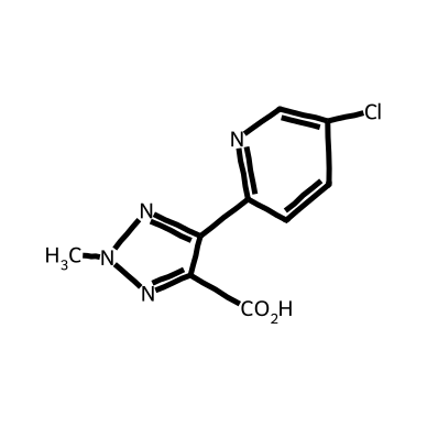 Cn1nc(C(=O)O)c(-c2ccc(Cl)cn2)n1